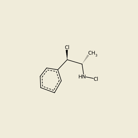 C[C@H](NCl)[C@H](Cl)c1ccccc1